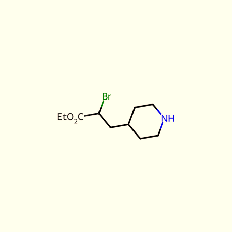 CCOC(=O)C(Br)CC1CCNCC1